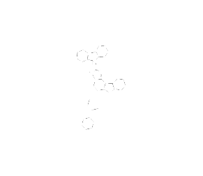 C1=CC(c2cc3nc(-n4c5ccccc5c5ccccc54)sc3c3c2sc2ccccc23)CC=C1c1ccccc1